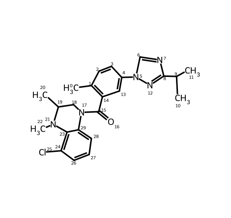 Cc1ccc(-n2cnc(C(C)C)n2)cc1C(=O)N1CC(C)N(C)c2c(Cl)cccc21